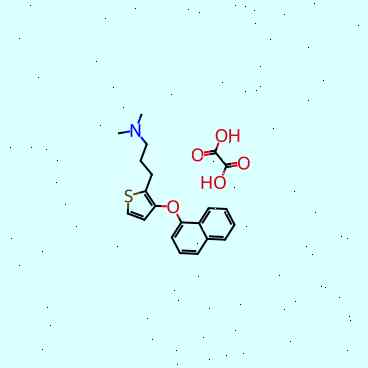 CN(C)CCCc1sccc1Oc1cccc2ccccc12.O=C(O)C(=O)O